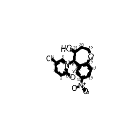 O=c1ccc(Cl)cn1C1c2cc([N+](=O)[O-])ccc2OCCC1O